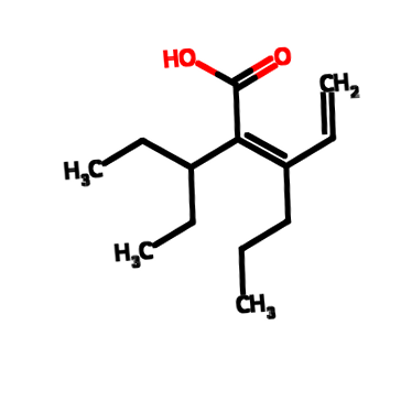 C=CC(CCC)=C(C(=O)O)C(CC)CC